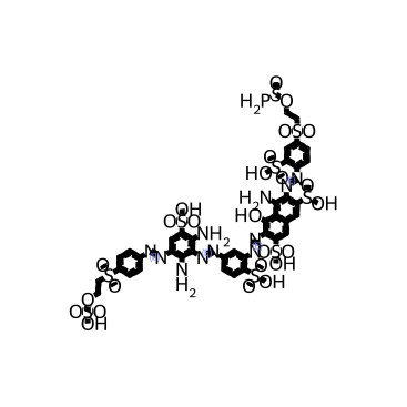 Nc1c(/N=N/c2ccc(S(=O)(=O)CCOS(=O)(=O)O)cc2)cc(S(=O)(=O)O)c(N)c1/N=N/c1ccc(S(=O)(=O)O)c(/N=N/c2c(S(=O)(=O)O)cc3cc(S(=O)O)c(/N=N/c4ccc(S(=O)(=O)CCOS(=O)P)cc4S(=O)(=O)O)c(N)c3c2O)c1